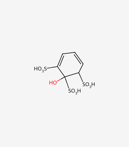 O=S(=O)(O)C1=CC=CC(S(=O)(=O)O)C1(O)S(=O)(=O)O